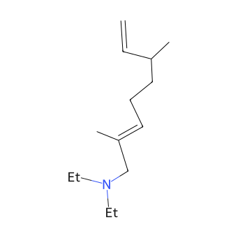 C=CC(C)CC/C=C(\C)CN(CC)CC